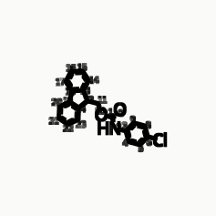 O=C(Nc1ccc(Cl)cc1)OCC1c2ccccc2-c2ccccc21